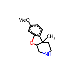 COc1ccc2c(c1)OC1CNCCC21C